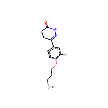 O=C(O)CCCOc1ccc(C2=NNC(=O)CC2)cc1Cl